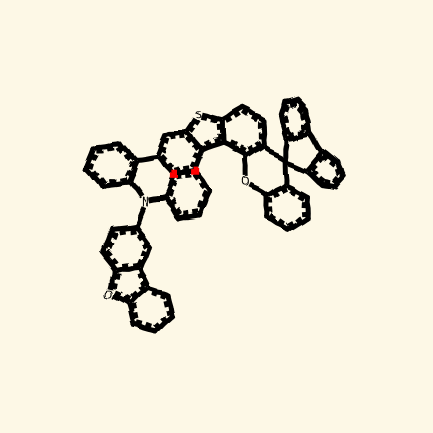 c1ccc(N(c2ccc3oc4ccccc4c3c2)c2ccccc2-c2ccc3c(c2)sc2ccc4c(c23)Oc2ccccc2C42c3ccccc3-c3ccccc32)cc1